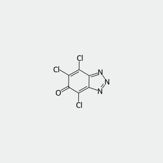 O=C1C(Cl)=C(Cl)C2=NN=NC2=C1Cl